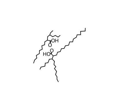 CCCCCCCCCCC(CC(CC)CCCC)C(=O)O.CCCCCCCCCCCCCCCCC(C(=O)O)C(CCCCCC)CCCCCCCCC